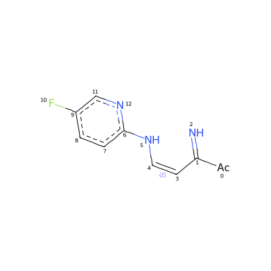 CC(=O)C(=N)/C=C\Nc1ccc(F)cn1